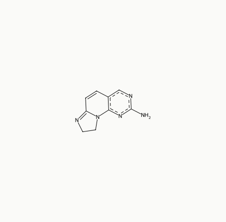 Nc1ncc2c(n1)N1CCN=C1C=C2